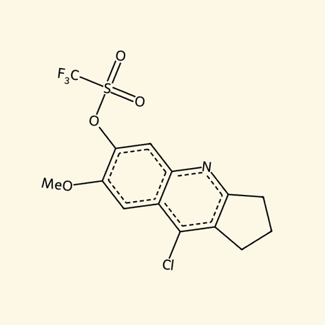 COc1cc2c(Cl)c3c(nc2cc1OS(=O)(=O)C(F)(F)F)CCC3